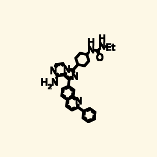 CCNC(=O)NC1CCC(c2nc(-c3ccc4ccc(-c5ccccc5)nc4c3)c3c(N)nccn23)CC1